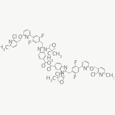 Cc1ccc(COc2cccc(-c3cc(F)c(Cc4nc5ccc(C(=O)OC(=O)c6ccc7nc(Cc8cc(F)c(-c9cccc(OCc%10ccc(C)nc%10Cl)n9)cc8F)n(C8COCC8(C)C)c7c6)cc5n4C4COCC4(C)C)cc3F)n2)c(Cl)n1